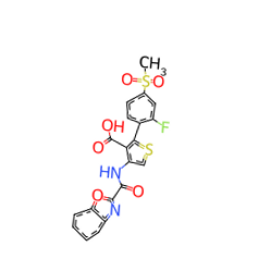 CS(=O)(=O)c1ccc(-c2scc(NC(=O)c3nc4ccccc4o3)c2C(=O)O)c(F)c1